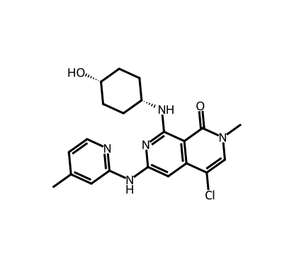 Cc1ccnc(Nc2cc3c(Cl)cn(C)c(=O)c3c(N[C@H]3CC[C@@H](O)CC3)n2)c1